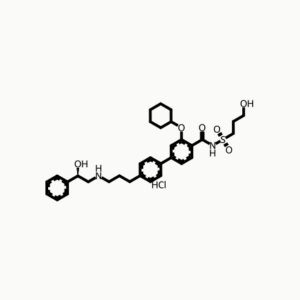 Cl.O=C(NS(=O)(=O)CCCO)c1ccc(-c2ccc(CCCNC[C@H](O)c3ccccc3)cc2)cc1OC1CCCCC1